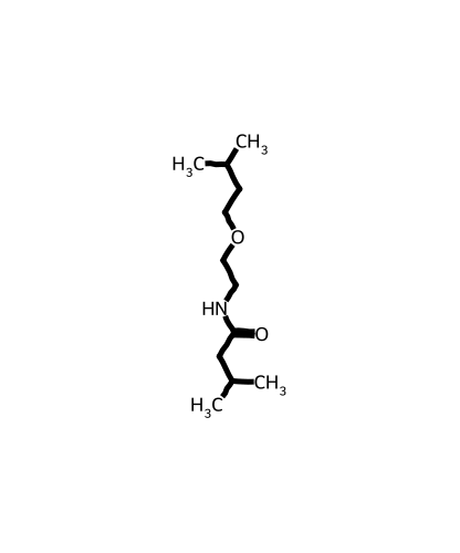 CC(C)CCOCCNC(=O)CC(C)C